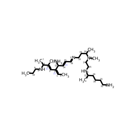 C/C=C(/C=C(\C)C(C)NCCC)C(N)/C=C/C=NCCC(C)N(C)CCNC(C)CCCCN